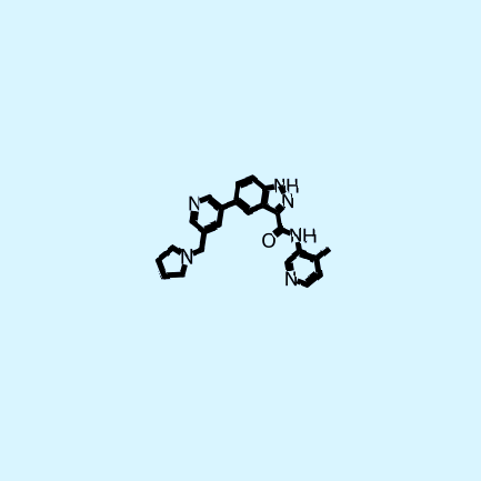 Cc1ccncc1NC(=O)c1n[nH]c2ccc(-c3cncc(CN4CCCC4)c3)cc12